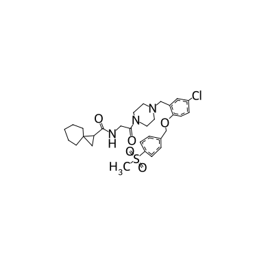 CS(=O)(=O)c1ccc(COc2ccc(Cl)cc2CN2CCN(C(=O)CNC(=O)C3CC34CCCCC4)CC2)cc1